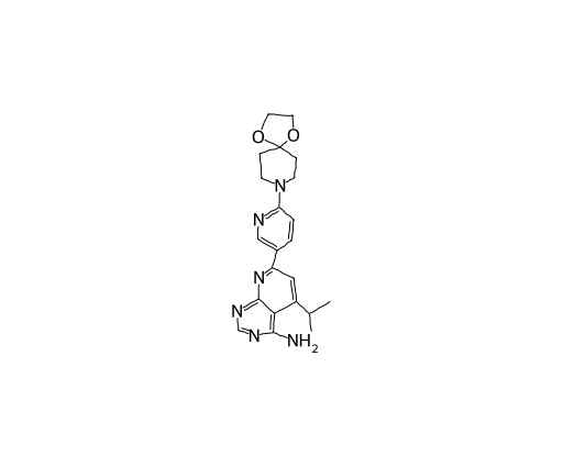 CC(C)c1cc(-c2ccc(N3CCC4(CC3)OCCO4)nc2)nc2ncnc(N)c12